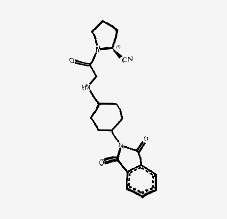 N#C[C@@H]1CCCN1C(=O)CNC1CCC(N2C(=O)c3ccccc3C2=O)CC1